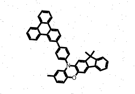 Cc1ccc2c(c1)N(c1ccc(-c3ccc4c5ccccc5c5ccccc5c4c3)cc1)c1cc3c(cc1O2)-c1ccccc1C3(C)C